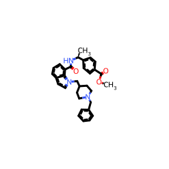 COC(=O)c1ccc([C@H](C)NC(=O)c2cccc3ccn(CC4CCN(Cc5ccccc5)CC4)c23)cc1